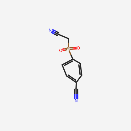 N#CCS(=O)(=O)c1ccc(C#N)cc1